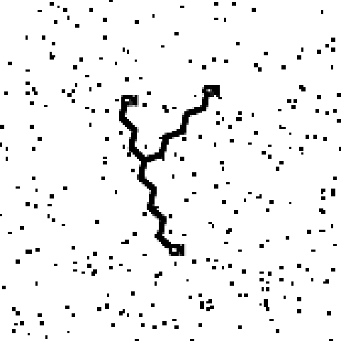 N#CCCCCCC(CCCC#N)CCCCCC#N